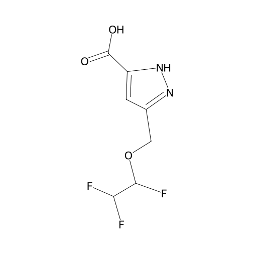 O=C(O)c1cc(COC(F)C(F)F)n[nH]1